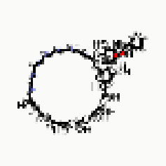 C[C@@H]1[C@H](O)[C@@H](C)/C=C/C=C/C=C/C=C/C=C/C=C/C=C/[C@H](OC2O[C@H](O)[C@@H](O)[C@H](N)[C@@H]2O)C[C@@H]2O[C@](O)(C[C@@H](O)C[C@@H](O)[C@H](O)CC[C@@H](O)C[C@@H](O)CC(=O)O[C@H]1C)C[C@H](O)[C@H]2C(=O)CCCCc1cccnc1